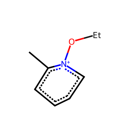 CCO[n+]1ccccc1C